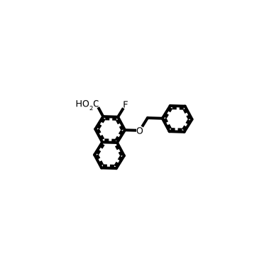 O=C(O)c1cc2ccccc2c(OCc2ccccc2)c1F